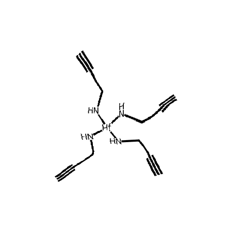 C#CC[NH][Hf]([NH]CC#C)([NH]CC#C)[NH]CC#C